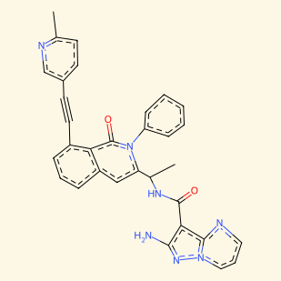 Cc1ccc(C#Cc2cccc3cc(C(C)NC(=O)c4c(N)nn5cccnc45)n(-c4ccccc4)c(=O)c23)cn1